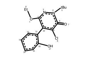 CCOc1nn(C(C)(C)C)c(=O)c(Cl)c1-c1ccccc1O